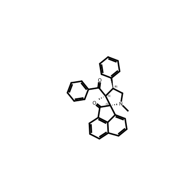 CN1C[C@H](c2ccccc2)[C@](C)(C(=O)c2ccccc2)[C@@]12C(=O)c1cccc3cccc2c13